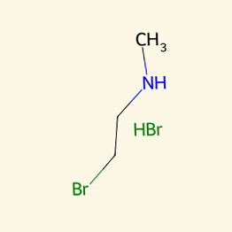 Br.CNCCBr